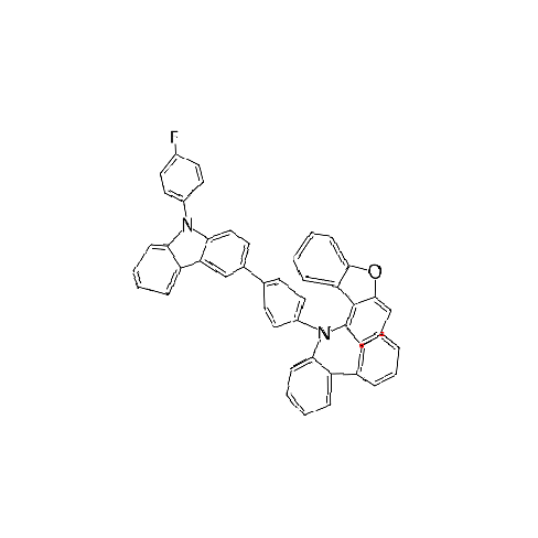 Fc1ccc(-n2c3ccccc3c3cc(-c4ccc(N(c5ccccc5-c5ccccc5)c5cccc6oc7ccccc7c56)cc4)ccc32)cc1